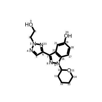 OCCn1ncc(-c2nn(C3CCCCO3)c3ccc(O)cc23)n1